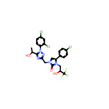 CC(O)c1nc(Cn2cc(-c3ccc(Cl)cc3)n(CC(O)C(F)(F)F)c2=O)nn1-c1ccc(Cl)cc1Cl